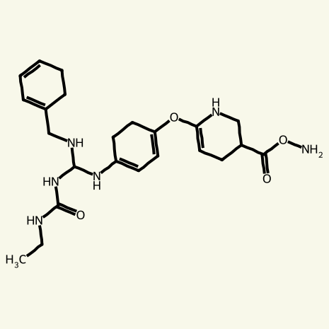 CCNC(=O)NC(NCC1=CC=CCC1)NC1=CC=C(OC2=CCC(C(=O)ON)CN2)CC1